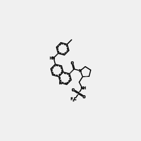 Cc1ccc(Nc2ccc3nccc(C(=O)N4CCCC4CNS(=O)(=O)C(F)(F)F)c3c2)cc1